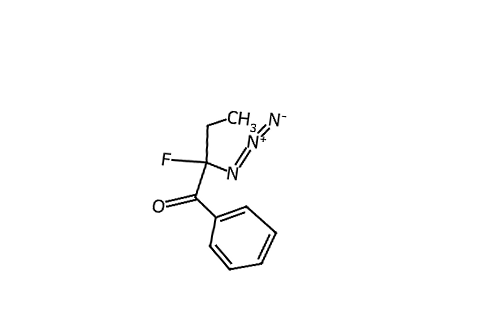 CCC(F)(N=[N+]=[N-])C(=O)c1ccccc1